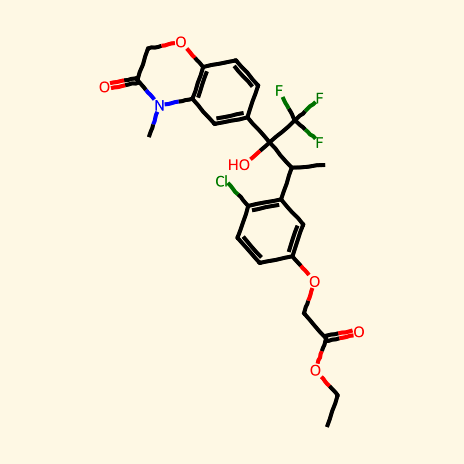 CCOC(=O)COc1ccc(Cl)c(C(C)C(O)(c2ccc3c(c2)N(C)C(=O)CO3)C(F)(F)F)c1